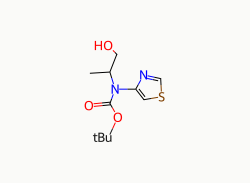 CC(CO)N(C(=O)OC(C)(C)C)c1cscn1